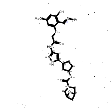 COc1cc(O)c(/C=N/C(C)C)c(OCC(=O)Nc2cc([C@H]3CC[C@@H](OC(=O)N4CC5CC(C4)O5)C3)[nH]n2)c1